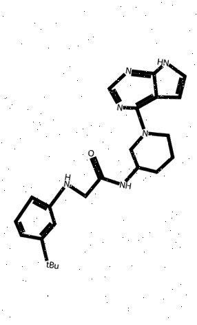 CC(C)(C)c1cccc(NCC(=O)NC2CCCN(c3ncnc4[nH]ccc34)C2)c1